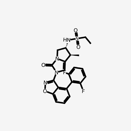 CCS(=O)(=O)N[C@H]1Cn2c(cn(-c3noc4cccc(-c5c(F)cccc5F)c34)c2=O)[C@@H]1C